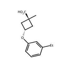 CCc1cccc(O[C@H]2C[C@](C)(C(=O)O)C2)c1